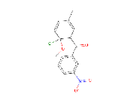 COC1(Cl)C=CC(C)=CC1C(=O)c1cccc([N+](=O)[O-])c1